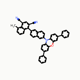 Cc1cccc2c(-c3ccc4cc(N5c6ccc(-c7ccccc7)cc6Oc6cc(-c7ccccc7)ccc65)ccc4c3)c(C#N)cc(C#N)c12